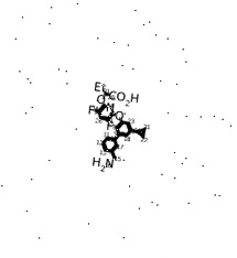 CC[C@@H](Oc1nc(Oc2cc(-c3cccc(CN)c3)cc(C3CC3)c2)c(F)cc1F)C(=O)O